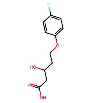 O=C(O)CC(O)CCOc1ccc(F)cc1